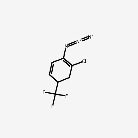 [N-]=[N+]=NC1=C(Cl)CC(C(F)(F)F)C=C1